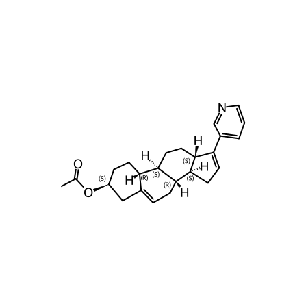 CC(=O)O[C@H]1CC[C@H]2C(=CC[C@H]3[C@@H]4CC=C(c5cccnc5)[C@H]4CC[C@@H]32)C1